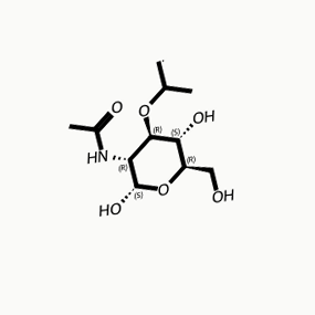 [CH2]C(C)O[C@H]1[C@H](O)[C@@H](CO)O[C@H](O)[C@@H]1NC(C)=O